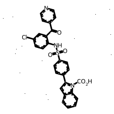 O=C(c1ccncc1)c1cc(Cl)ccc1NS(=O)(=O)c1ccc(-c2cc3ccccc3n2C(=O)O)cc1